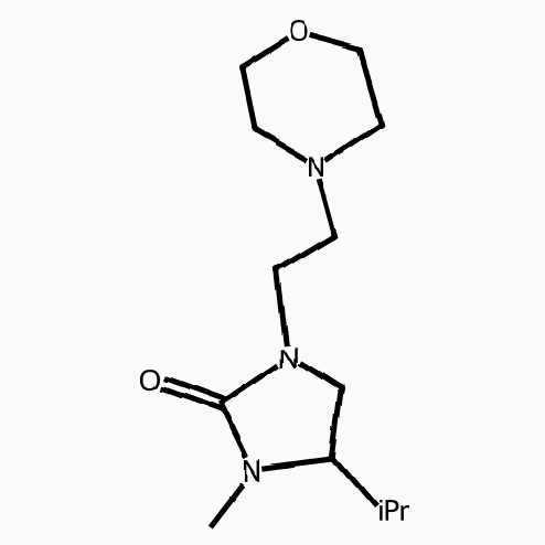 CC(C)C1CN(CCN2CCOCC2)C(=O)N1C